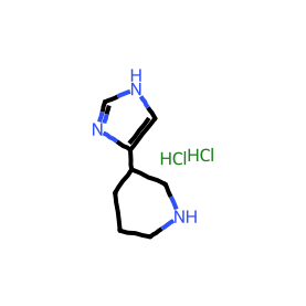 Cl.Cl.c1nc(C2CCCNC2)c[nH]1